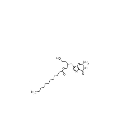 CCCCCCCCCCCC(=O)OCC(CCO)Cn1cnc2c(=O)[nH]c(N)nc21